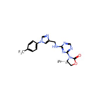 CC(C)[C@H]1COC(=O)N1c1ncnc(NCc2cn(-c3ccc(C(F)(F)F)cc3)cn2)n1